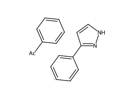 CC(=O)c1ccccc1.[c]1ccc(-c2cc[nH]n2)cc1